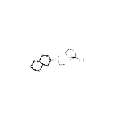 CCN(C[C@@H]1COC(N)=N1)c1ccc2ccccc2c1